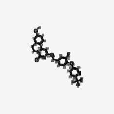 COc1ccc2c(c1)CCn1c-2cc(OCc2ccc(Oc3ccc(C(F)(F)F)nc3)c(F)c2)nc1=O